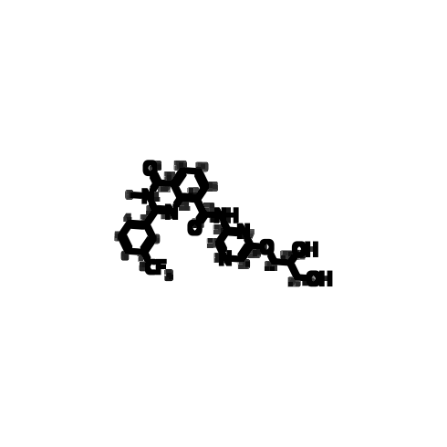 Cn1c(-c2cccc(C(F)(F)F)c2)nc2c(C(=O)Nc3cncc(OCC(O)CO)n3)cccc2c1=O